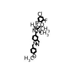 COc1ccc(Cn2ncc3cc(-c4nnc(C(C)(C)Oc5c(F)cc(Cl)cc5F)n4C)ccc32)cc1